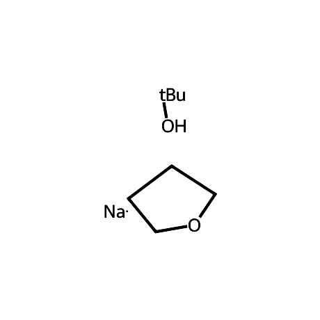 C1CCOC1.CC(C)(C)O.[Na]